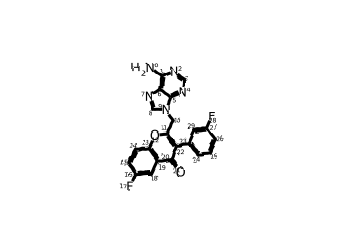 Nc1ncnc2c1ncn2Cc1oc2ccc(F)cc2c(=O)c1-c1cccc(F)c1